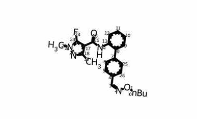 CCCCO/N=C\c1ccc(-c2ccccc2NC(=O)c2c(C)nn(C)c2F)cc1